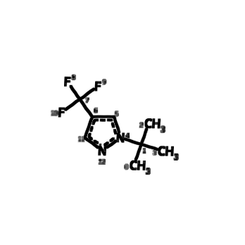 CC(C)(C)n1cc(C(F)(F)F)cn1